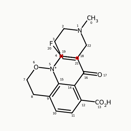 CN1CCN([N+]23OCCc4ccc(C(=O)O)c(c42)C(=O)C=C3F)CC1